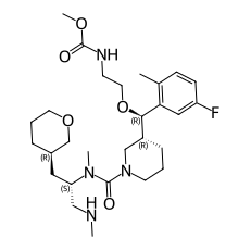 CNC[C@H](C[C@H]1CCCOC1)N(C)C(=O)N1CCC[C@@H]([C@@H](OCCNC(=O)OC)c2cc(F)ccc2C)C1